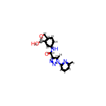 Cc1cccc(-n2nnc(C(=O)Nc3ccc4c(c3)B(O)OC4)c2C)n1